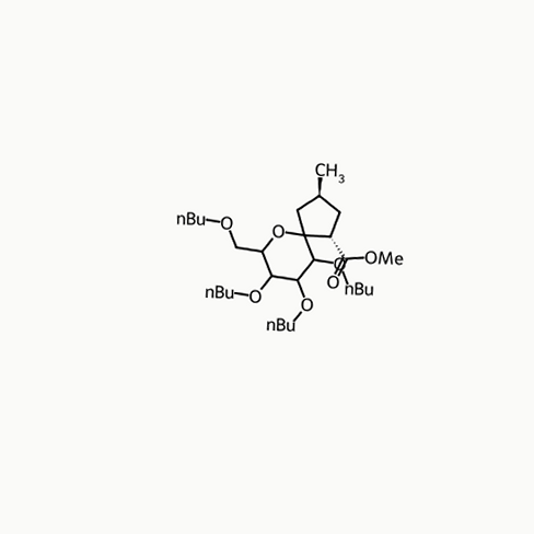 CCCCOCC1OC2(C[C@@H](C)C[C@@H]2C(=O)OC)C(OCCCC)C(OCCCC)C1OCCCC